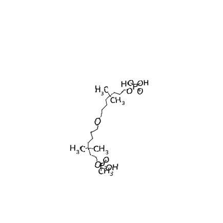 CC(C)(CCCCOCCCCC(C)(C)CCOP(C)(=O)O)CCCOP(=O)(O)O